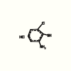 Cl.Nc1cccc(Cl)c1S